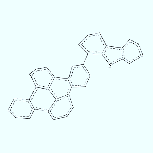 c1ccc2c(c1)sc1c(-c3ccc4c(c3)c3cccc5c6ccccc6c6cccc4c6c53)cccc12